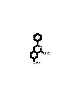 COc1ccc2c(c1)C(C=O)OC(c1ccccc1)C2